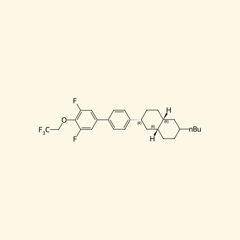 CCCCC1CC[C@@H]2C[C@H](c3ccc(-c4cc(F)c(OCC(F)(F)F)c(F)c4)cc3)CC[C@@H]2C1